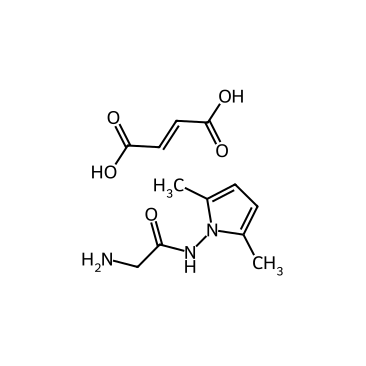 Cc1ccc(C)n1NC(=O)CN.O=C(O)C=CC(=O)O